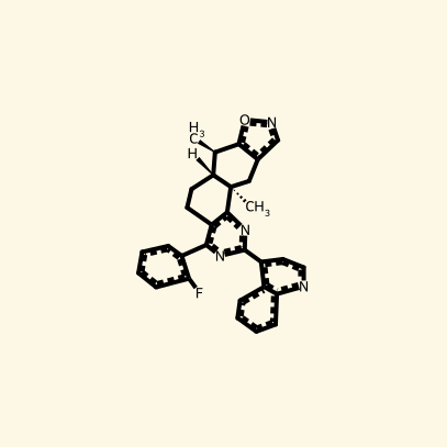 C[C@H]1c2oncc2C[C@@]2(C)c3nc(-c4ccnc5ccccc45)nc(-c4ccccc4F)c3CC[C@H]12